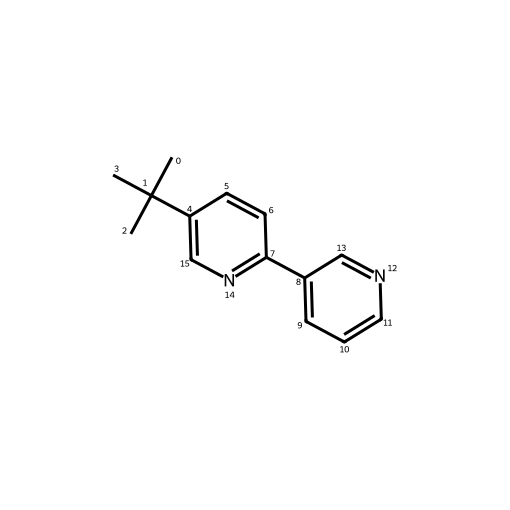 CC(C)(C)c1ccc(-c2cccnc2)nc1